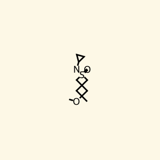 COC1(C)CC2(C1)CS(=O)(=NC1CC1)C2